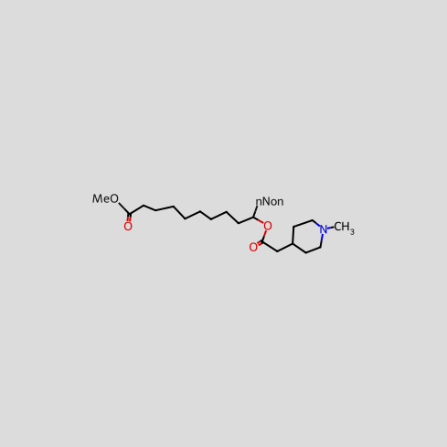 CCCCCCCCCC(CCCCCCCCC(=O)OC)OC(=O)CC1CCN(C)CC1